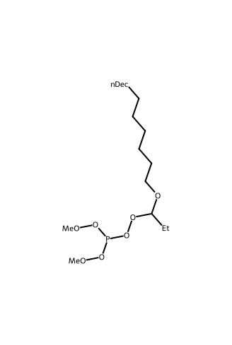 CCCCCCCCCCCCCCCCOC(CC)OOP(OOC)OOC